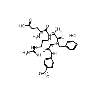 C[C@H](NC(=O)[C@@H](N)CCC(=O)O)C(=O)N(Cc1ccccc1)[C@@H](CCCNC(=N)N)C(=O)Nc1ccc([N+](=O)[O-])cc1.Cl